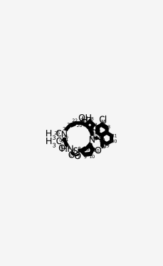 C[C@@H]1C(=O)NS(=O)(=O)c2ccc3c(c2)N(C[C@@H]2CC[C@H]2[C@@H](O)C=CCN1C)C[C@@]1(CCCc2cc(Cl)ccc21)CO3